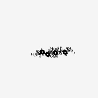 COc1ccc(-c2cccc(C(=O)N(C)C)c2)cc1S(=O)(=O)Nc1cccc(NC(=O)Nc2cccc(N(C)C)c2)c1OC